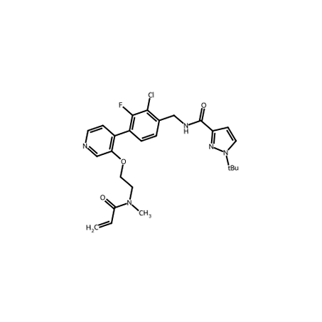 C=CC(=O)N(C)CCOc1cnccc1-c1ccc(CNC(=O)c2ccn(C(C)(C)C)n2)c(Cl)c1F